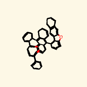 C1=Cc2cc3oc4cccc(-c5c6c(c(-c7ccccc7-c7ccc(-c8ccccc8)cc7)c7ccccc57)CCC=C6)c4c3cc2CC1